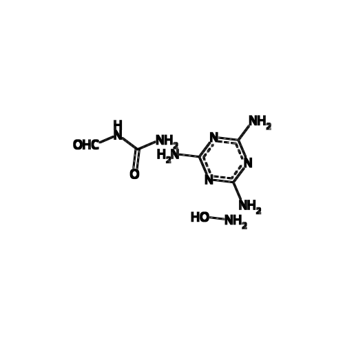 NC(=O)NC=O.NO.Nc1nc(N)nc(N)n1